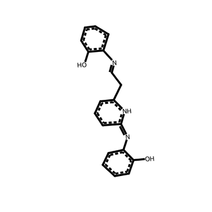 Oc1ccccc1N=CCc1cccc(=Nc2ccccc2O)[nH]1